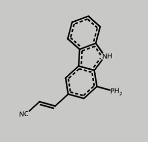 N#CC=Cc1cc(P)c2[nH]c3ccccc3c2c1